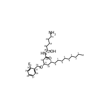 CCCCCCCCCCCC(CC(=O)N[C@H](O)CCCCN)OCc1ccccc1F